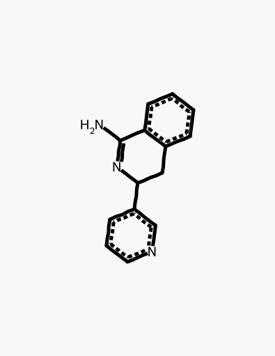 NC1=NC(c2cccnc2)Cc2ccccc21